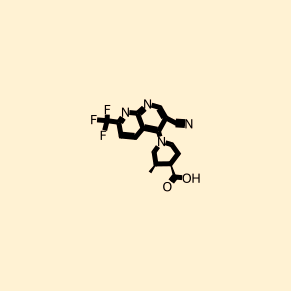 C[C@H]1CN(c2c(C#N)cnc3nc(C(F)(F)F)ccc23)CC[C@H]1C(=O)O